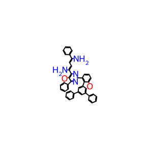 N/C(=C\C=C(/N)c1nc(-c2cccc3oc4c(-c5ccccc5)cc(-c5ccccc5)cc4c23)nc2c1oc1ccccc12)c1ccccc1